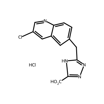 Cl.O=C(O)c1nnc(Cc2ccc3ncc(Cl)cc3c2)[nH]1